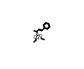 CCO[SiH](OCC)C(C)C=Cc1ccccc1